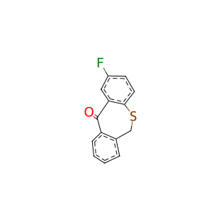 O=C1c2ccccc2CSc2ccc(F)cc21